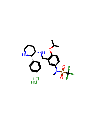 CC(C)Oc1ccc(N(C)S(=O)(=O)C(F)(F)F)cc1CN[C@H]1CCCN[C@H]1c1ccccc1.Cl.Cl